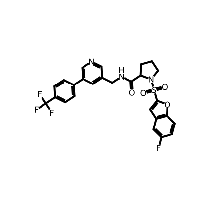 O=C(NCc1cncc(-c2ccc(C(F)(F)F)cc2)c1)C1CCCN1S(=O)(=O)c1cc2cc(F)ccc2o1